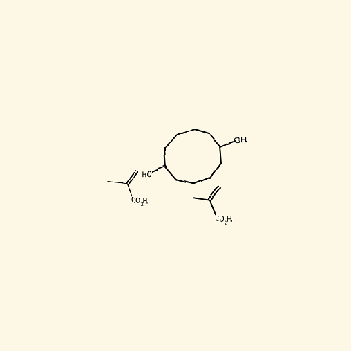 C=C(C)C(=O)O.C=C(C)C(=O)O.OC1CCCCC(O)CCCC1